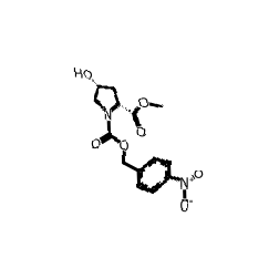 COC(=O)[C@H]1C[C@@H](O)CN1C(=O)OCc1ccc([N+](=O)[O-])cc1